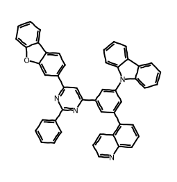 c1ccc(-c2nc(-c3cc(-c4cccc5ncccc45)cc(-n4c5ccccc5c5ccccc54)c3)cc(-c3ccc4c(c3)oc3ccccc34)n2)cc1